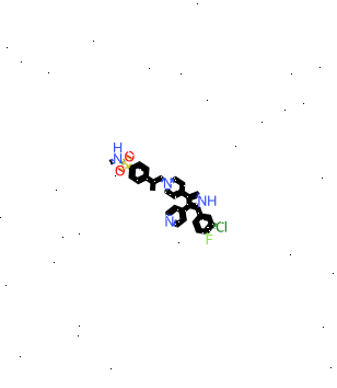 CNS(=O)(=O)c1ccc(C(C)CN2CC=C(c3c[nH]c(-c4ccc(F)c(Cl)c4)c3-c3ccncc3)CC2)cc1